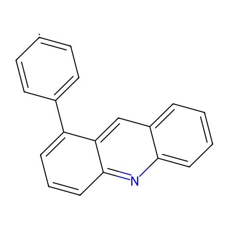 [c]1ccc(-c2cccc3nc4ccccc4cc23)cc1